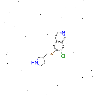 Clc1cc2cnccc2cc1SCC1CCNC1